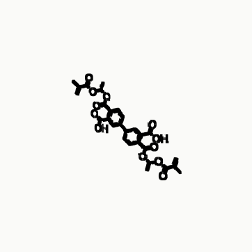 C=C(C)C(=O)OC(C)OC(=O)c1ccc(-c2ccc(C(=O)OC(C)OC(=O)C(=C)C)c(C(=O)O)c2)cc1C(=O)O